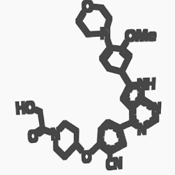 COC1=CC(c2cc3c(-c4ccc(OC5CCN(C(=O)CO)CC5)c(C#N)c4)ncnc3[nH]2)CC=C1N1CCOCC1